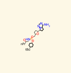 CCCC(=O)CNP(OCC1CCC(c2ccc3c(N)ncnn23)O1)Oc1ccc(C(C)(C)C)cc1